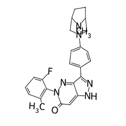 Cc1cccc(F)c1-n1nc2c(-c3ccc(N4CC5CCC(C4)N5C)cc3)n[nH]c2cc1=O